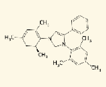 CC1=CC(C)=C(N2C=C(c3ccccc3)N(c3c(C)cc(C)cc3C)C2)[C@@H](C)C1